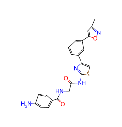 Cc1cc(-c2cccc(-c3csc(NC(=O)CNC(=O)c4ccc(N)cc4)n3)c2)on1